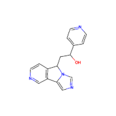 OC(CC1c2ccncc2-c2cncn21)c1ccncc1